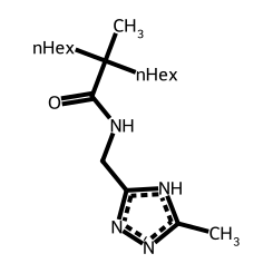 CCCCCCC(C)(CCCCCC)C(=O)NCc1nnc(C)[nH]1